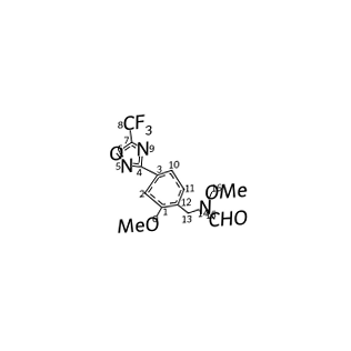 COc1cc(-c2noc(C(F)(F)F)n2)ccc1CN(C=O)OC